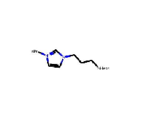 [CH2]CC[n+]1ccn(CCCCCCCCCC)c1